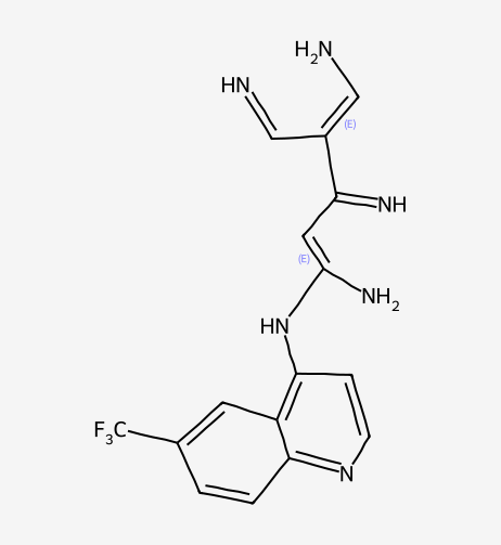 N=C/C(=C\N)C(=N)/C=C(\N)Nc1ccnc2ccc(C(F)(F)F)cc12